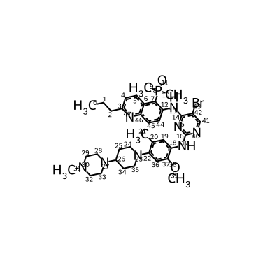 CCCc1ccc2c(P(C)(C)=O)c(Nc3nc(Nc4cc(C)c(N5CCC(N6CCN(C)CC6)CC5)cc4OC)ncc3Br)ccc2n1